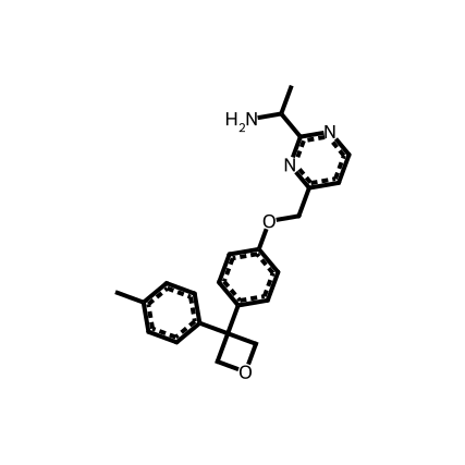 Cc1ccc(C2(c3ccc(OCc4ccnc(C(C)N)n4)cc3)COC2)cc1